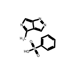 CC1=NC=C2N=NC=C21.O=S(=O)(O)c1ccccc1